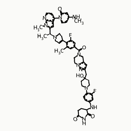 CNc1ccn(-c2ccnc3c2cc([C@H](C)N2CC=C(c4c(C)cc(C(=O)N5CCn6nc(CC7(O)CCN(c8ccc(NC9CCC(=O)NC9=O)cc8F)CC7)cc6C5)cc4F)CC2)n3C)c(=O)c1